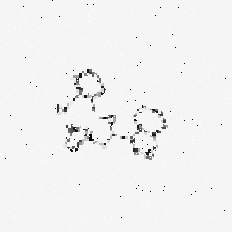 Brc1ccccc1COC(Cn1ccnc1)c1cccc2ccccc12